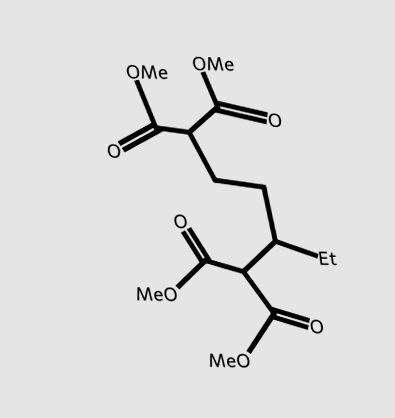 [CH2]CC(CCC(C(=O)OC)C(=O)OC)C(C(=O)OC)C(=O)OC